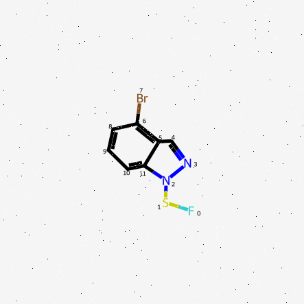 FSn1ncc2c(Br)cccc21